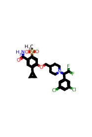 CS(=O)(=O)c1cc(OCC2CCN(C(c3cc(Cl)cc(Cl)c3)C(F)F)CC2)c(C2CC2)cc1C(N)=O